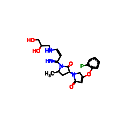 CC1C[C@H](N2CC(Oc3ccccc3F)=CC2=O)C(=O)N1C(=N)/C=C\NC[C@@H](O)CO